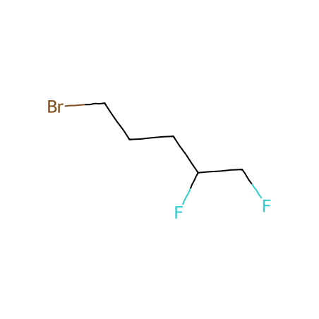 FCC(F)CCCBr